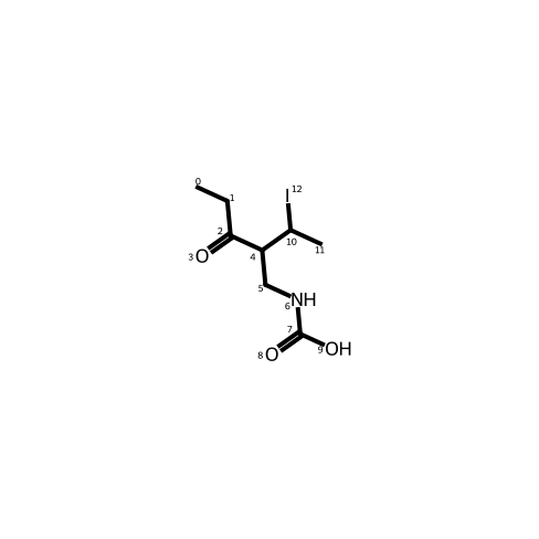 CCC(=O)C(CNC(=O)O)C(C)I